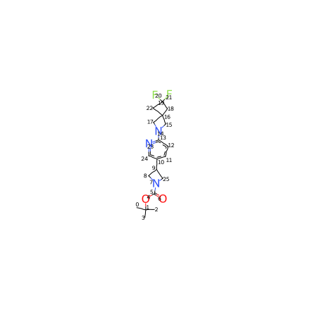 CC(C)(C)OC(=O)N1CC(c2ccc(N3CC4(C3)CC(F)(F)C4)nc2)C1